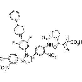 CC(C)[C@H](NC(=O)O)C(=O)N1CCC[C@H]1C(=O)Nc1ccc([C@H]2CC[C@H](c3ccc(Cl)c([N+](=O)[O-])c3)N2c2cc(F)c(N3CCC(c4ccccc4)CC3)c(F)c2)cc1[N+](=O)[O-]